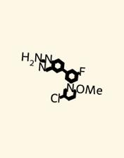 COC1C=CC(Cl)=CN1c1cc(F)cc(-c2ccc3nc(N)ncc3c2)c1